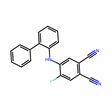 N#Cc1cc(F)c(Nc2ccccc2-c2ccccc2)cc1C#N